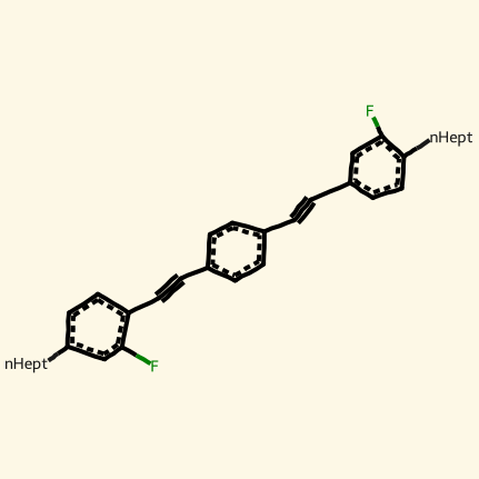 CCCCCCCc1ccc(C#Cc2ccc(C#Cc3ccc(CCCCCCC)c(F)c3)cc2)c(F)c1